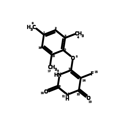 Cc1cc(C)c(Oc2[nH]c(=O)[nH]c(=O)c2F)c(C)c1